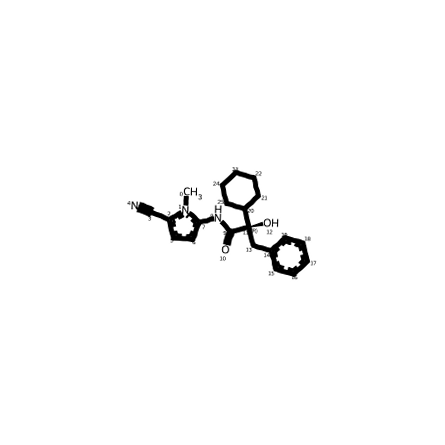 Cn1c(C#N)ccc1NC(=O)[C@@](O)(Cc1ccccc1)C1CCCCC1